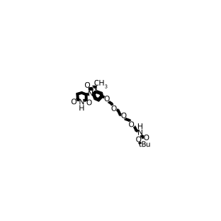 Cn1c(=O)n(C2CCC(=O)NC2=O)c2ccc(OCCOCCOCCOCCNC(=O)OC(C)(C)C)cc21